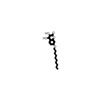 CCCCCCCCCCOc1ccc2c(O)c(O)c(=O)oc2c1